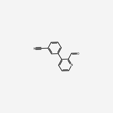 N#Cc1cccc(-c2cccnc2C=O)c1